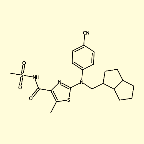 Cc1sc(N(CC2CCC3CCCC32)c2ccc(C#N)cc2)nc1C(=O)NS(C)(=O)=O